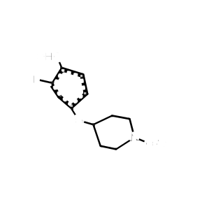 CC(=O)ON1CCC(Oc2ccc(C=O)c(F)c2)CC1